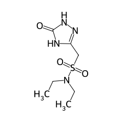 CCN(CC)S(=O)(=O)Cc1n[nH]c(=O)[nH]1